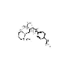 COc1ccc(S(=O)(=O)N[C@H](CN)CN2[C@H](C)CCC[C@@H]2C)cc1